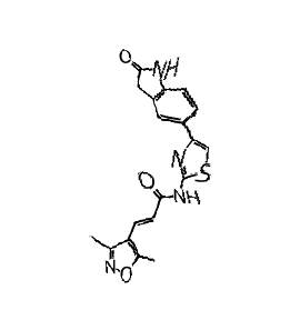 Cc1noc(C)c1/C=C/C(=O)Nc1nc(-c2ccc3c(c2)CC(=O)N3)cs1